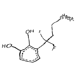 CCCCCCCCCC(F)(F)c1cccc(O)c1O